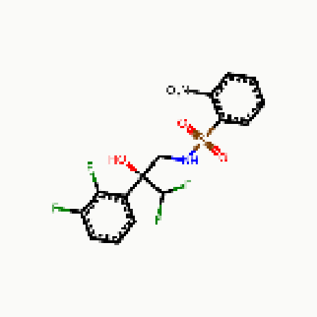 O=[N+]([O-])c1ccccc1S(=O)(=O)NC[C@@](O)(c1cccc(F)c1F)C(F)F